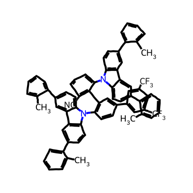 Cc1ccccc1-c1ccc2c(c1)c1cc(-c3ccccc3C)ccc1n2-c1ccc(-c2cc(C(F)(F)F)cc(C(F)(F)F)c2)cc1-c1c(C#N)cccc1-n1c2ccc(-c3ccccc3C)cc2c2cc(-c3ccccc3C)ccc21